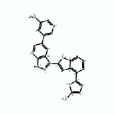 COc1cncc(-c2cnc3[nH]nc(-c4cc5c(-c6ccc(C)s6)cccc5[nH]4)c3c2)c1